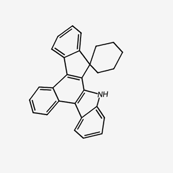 c1ccc2c(c1)-c1c(c3[nH]c4ccccc4c3c3ccccc13)C21CCCCC1